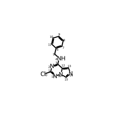 Clc1nc(NCc2ccccc2)c2cncn2n1